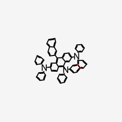 c1ccc(N(c2ccccc2)c2ccc3c(N(c4ccccc4)c4ccccc4)c4cc(N(c5ccccc5)c5ccccc5)ccc4c(-c4ccc5ccccc5c4)c3c2)cc1